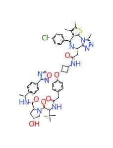 Cc1sc2c(c1C)C(c1ccc(Cl)cc1)=NC(CC(=O)N[C@H]1C[C@H](Oc3ccc(CC(=O)N[C@H](C(=O)N4C[C@H](O)C[C@H]4C(=O)N[C@@H](C)c4ccc(-c5ncon5)cc4)C(C)(C)C)cc3)C1)c1nnc(C)n1-2